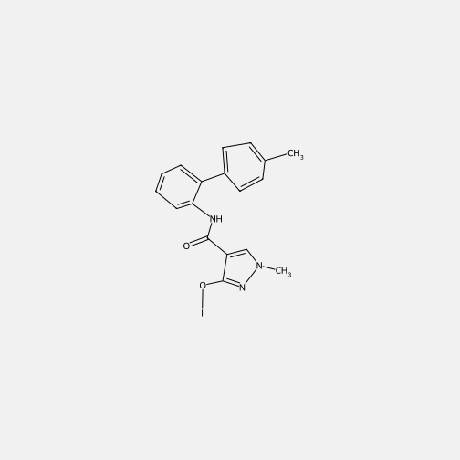 Cc1ccc(-c2ccccc2NC(=O)c2cn(C)nc2OI)cc1